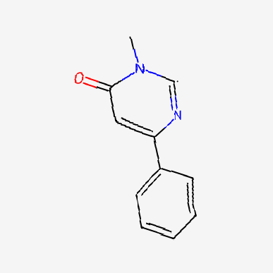 Cn1[c]nc(-c2ccccc2)cc1=O